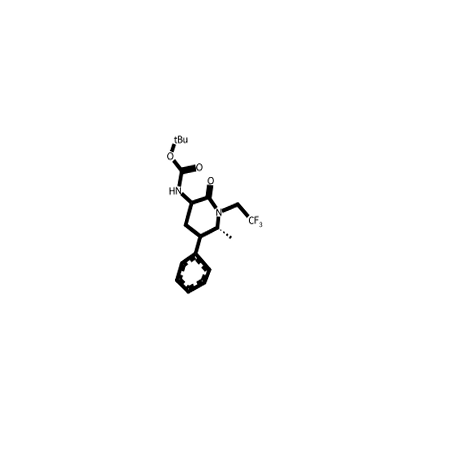 C[C@@H]1C(c2ccccc2)CC(NC(=O)OC(C)(C)C)C(=O)N1CC(F)(F)F